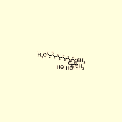 CCCCCCCCCCCC[S+](C)C(C)C(=O)O.[OH-]